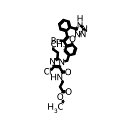 CCCc1nc(Cl)c(C(=O)NCCC(=O)OCC)n1Cc1ccc2oc(-c3ccccc3-c3nnn[nH]3)c(Br)c2c1